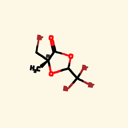 C[C@]1(CBr)OC(C(Br)(Br)Br)OC1=O